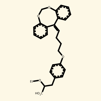 CCOC(Cc1ccc(OCCCC=C2c3ccccc3OCOc3ccccc32)cc1)C(=O)O